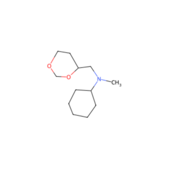 CN(CC1CCOCO1)C1CCCCC1